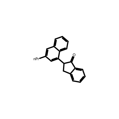 CCCc1cc(C2Cc3ccccc3C2=O)c2ccccc2c1